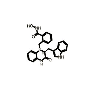 O=C(NO)c1ccccc1CN1c2ccccc2NC(=O)[C@@H]1Cc1c[nH]c2ccccc12